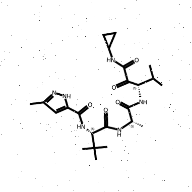 Cc1cc(C(=O)N[C@H](C(=O)N[C@@H](C)C(=O)N[C@H](C(=O)C(=O)NC2CC2)C(C)C)C(C)(C)C)[nH]n1